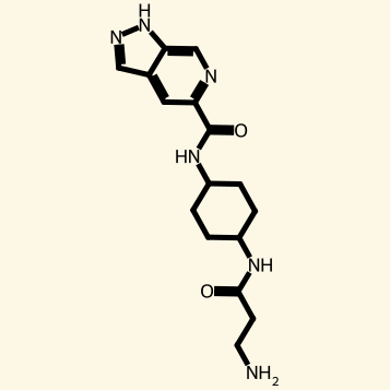 NCCC(=O)NC1CCC(NC(=O)c2cc3cn[nH]c3cn2)CC1